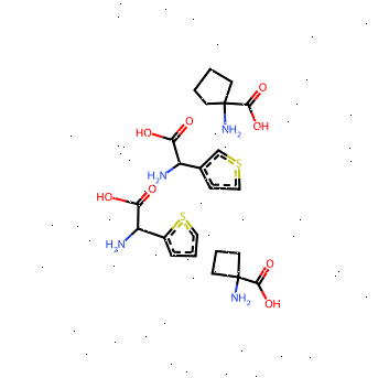 NC(C(=O)O)c1cccs1.NC(C(=O)O)c1ccsc1.NC1(C(=O)O)CCC1.NC1(C(=O)O)CCCC1